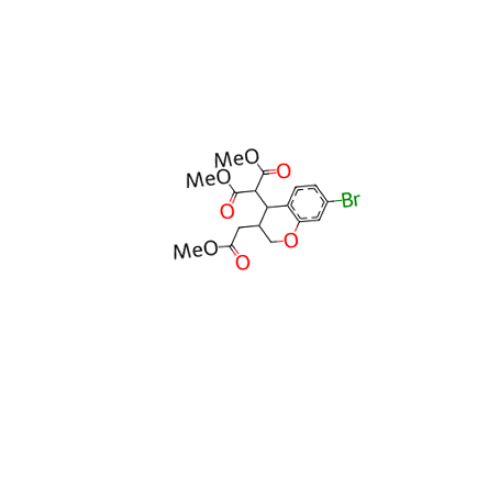 COC(=O)CC1COc2cc(Br)ccc2C1C(C(=O)OC)C(=O)OC